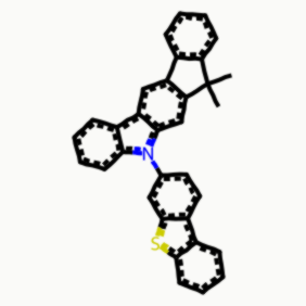 CC1(C)c2ccccc2-c2cc3c4ccccc4n(-c4ccc5c(c4)sc4ccccc45)c3cc21